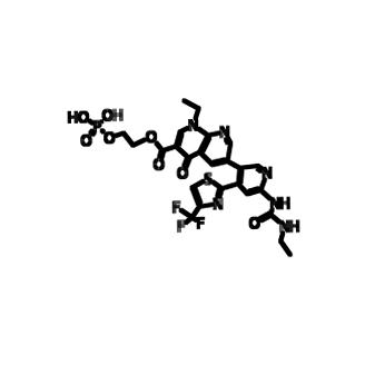 CCNC(=O)Nc1cc(-c2nc(C(F)(F)F)cs2)c(-c2cnc3c(c2)c(=O)c(C(=O)OCCOP(=O)(O)O)cn3CC)cn1